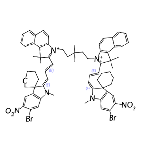 CN1/C(=C/C=C/C2=[N+](CCC(C)(C)CC[N+]3=C(/C=C/C=C4/N(C)c5cc(Br)c([N+](=O)[O-])cc5C45CCCCC5)C(C)(C)c4c3ccc3ccccc43)c3ccc4ccccc4c3C2(C)C)C2(CCCCC2)c2cc([N+](=O)[O-])c(Br)cc21